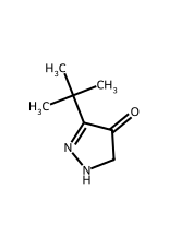 CC(C)(C)C1=NNCC1=O